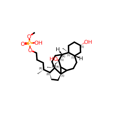 COP(=O)(O)OCCC[C@@H](C)[C@H]1CC[C@@]23C4CC[C@H]5C[C@@H](O)CC[C@]5(C)[C@@H](CC[C@]12C)[C@H](O)C43